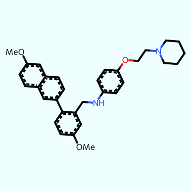 COc1ccc(-c2ccc3cc(OC)ccc3c2)c(CNc2ccc(OCCN3CCCCC3)cc2)c1